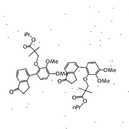 CCCOC(=O)C(C)(C)COc1c(-c2cccc3c2CCC3=O)ccc(OC)c1OC.COc1ccc(-c2cccc3c2CCC3=O)c(OCC(C)(C)C(=O)OC(C)C)c1OC